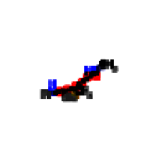 C/C=C/CNC(=O)CCOCCOCCOC(C)(CCOCCOCCNC(C)C)SSC(C)(C)C